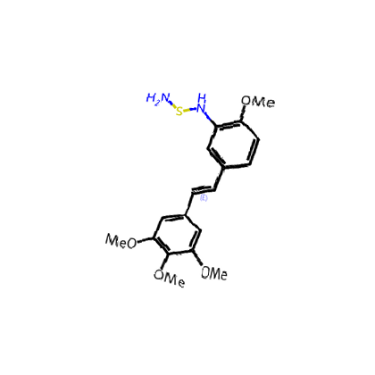 COc1ccc(/C=C/c2cc(OC)c(OC)c(OC)c2)cc1NSN